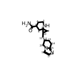 NC(=O)C1CCNC2(C1)CC2C[C@@H]1CCc2nccn2C1